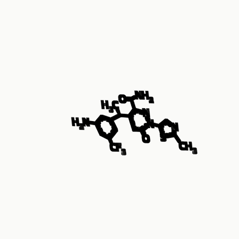 Cc1ncc(-n2nc(C(N)=O)c([C@H](C)c3cc(N)cc(C(F)(F)F)c3)cc2=O)s1